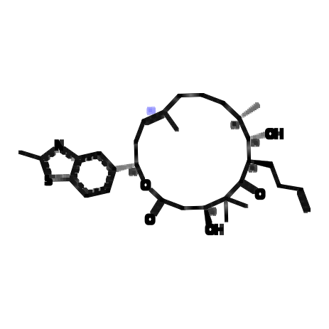 C=CCC[C@H]1C(=O)C(C)(C)[C@@H](O)CC(=O)O[C@H](c2ccc3sc(C)nc3c2)C/C=C(\C)CCC[C@H](C)[C@@H]1O